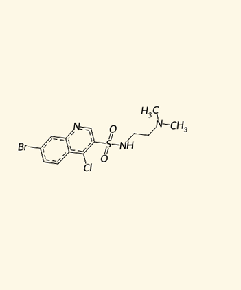 CN(C)CCNS(=O)(=O)c1cnc2cc(Br)ccc2c1Cl